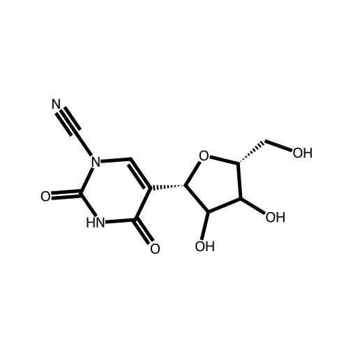 N#Cn1cc([C@@H]2O[C@H](CO)C(O)C2O)c(=O)[nH]c1=O